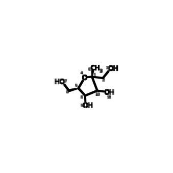 C[C@]1(CO)O[C@H](CO)C(O)C1O